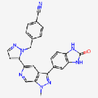 Cn1nc(-c2ccc3[nH]c(=O)[nH]c3c2)c2cc(-c3ccnn3Cc3ccc(C#N)cc3)ncc21